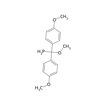 COc1ccc(C(P)(OC)c2ccc(OC)cc2)cc1